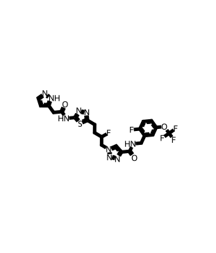 O=C(Cc1ccn[nH]1)Nc1nnc(CCC(F)Cn2cc(C(=O)NCc3cc(OC(F)(F)F)ccc3F)nn2)s1